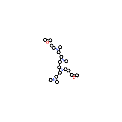 c1ccc(-n2c3ccccc3c3cc(-c4ccc5c(c4)c4ccc(-c6ccc7c8cc(-c9ccc%10c(c9)c9ccccc9n%10-c9ccc%10ccc(-c%11cccc%12c%11oc%11ccccc%11%12)cc%10c9)ccc8n(-c8ccccc8)c7c6)cc4n5-c4ccc5ccc(-c6ccc7oc8ccccc8c7c6)cc5c4)ccc32)cc1